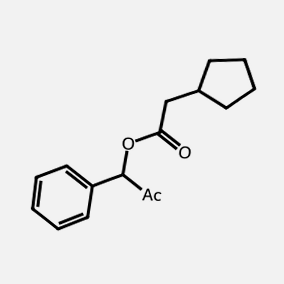 CC(=O)C(OC(=O)CC1CCCC1)c1ccccc1